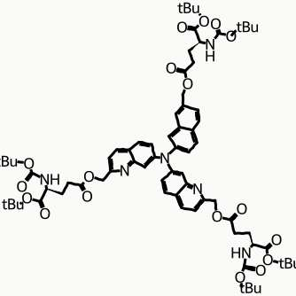 CC(C)(C)OC(=O)N[C@@H](CCC(=O)OCc1ccc2ccc(N(c3ccc4ccc(COC(=O)CC[C@H](NC(=O)OC(C)(C)C)C(=O)OC(C)(C)C)nc4c3)c3ccc4ccc(COC(=O)CC[C@H](NC(=O)OC(C)(C)C)C(=O)OC(C)(C)C)nc4c3)cc2c1)C(=O)OC(C)(C)C